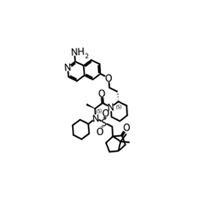 C[C@@H](C(=O)N1CCCC[C@H]1CCOc1ccc2c(N)nccc2c1)N(C1CCCCC1)S(=O)(=O)CC12CCC(CC1=O)C2(C)C